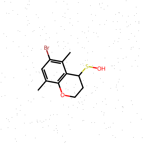 Cc1cc(Br)c(C)c2c1OCCC2SO